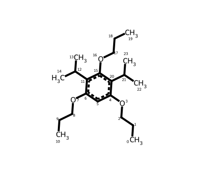 CCCOc1cc(OCCC)c(C(C)C)c(OCCC)c1C(C)C